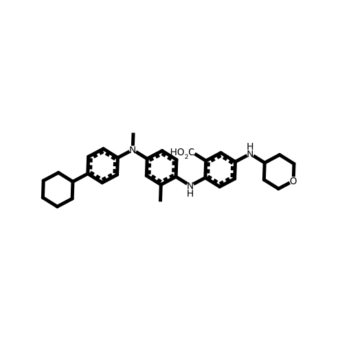 Cc1cc(N(C)c2ccc(C3CCCCC3)cc2)ccc1Nc1ccc(NC2CCOCC2)cc1C(=O)O